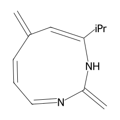 C=c1cccnc(=C)[nH]c(C(C)C)c1